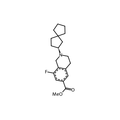 COC(=O)c1cc(F)c2c(c1)CCN([C@H]1CCC3(CCCC3)C1)C2